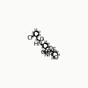 NS(=O)(=O)c1cc(NC(=O)Cc2ccccc2Cl)ccc1OCC1(F)CCOCC1